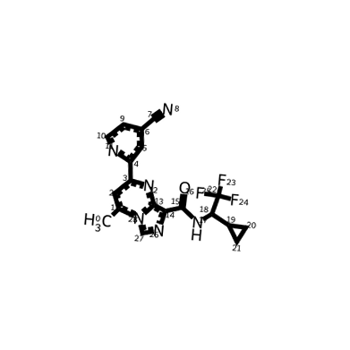 Cc1cc(-c2cc(C#N)ccn2)nc2c(C(=O)NC(C3CC3)C(F)(F)F)ncn12